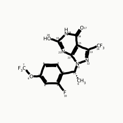 C[C@H](c1ccc(OC(F)(F)F)cc1F)n1nc(C(F)(F)F)c2c(=O)[nH]c(O)nc21